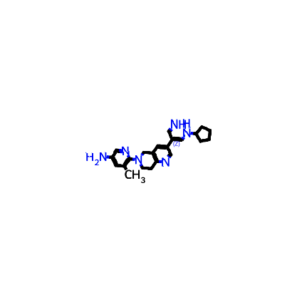 Cc1cc(N)cnc1N1CCc2ncc(/C(C=N)=C/NC3CCCC3)cc2C1